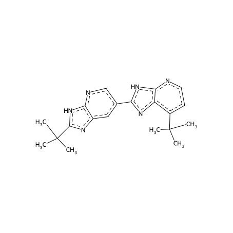 CC(C)(C)c1nc2cc(-c3nc4c(C(C)(C)C)ccnc4[nH]3)cnc2[nH]1